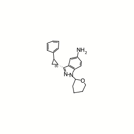 Nc1ccc2c(c1)c([C@@H]1CC1c1ccccc1)nn2C1CCCCO1